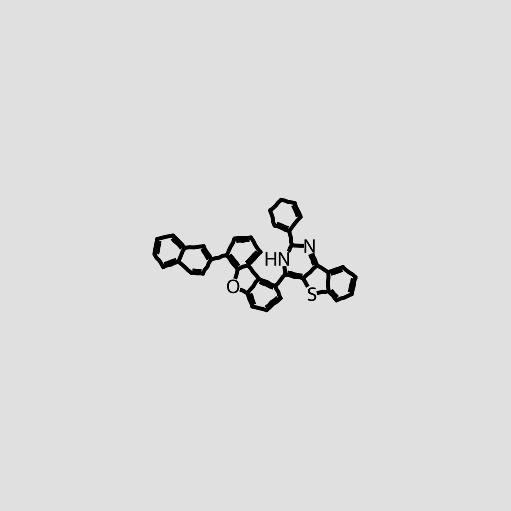 C1=CC(C2N=c3c(sc4ccccc34)=C(c3cccc4oc5c(-c6ccc7ccccc7c6)cccc5c34)N2)=CCC1